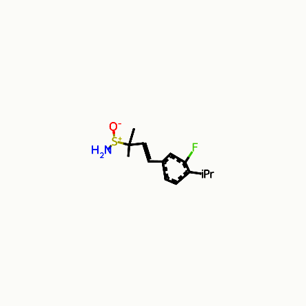 CC(C)c1ccc(C=CC(C)(C)[S+](N)[O-])cc1F